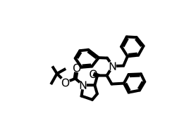 CC(C)(C)OC(=O)N1CCCC1C(=O)C(Cc1ccccc1)N(Cc1ccccc1)Cc1ccccc1